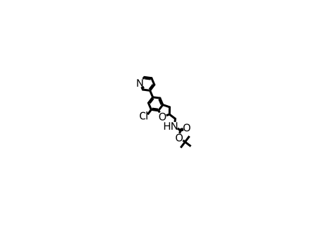 CC(C)(C)OC(=O)NCC1Cc2cc(-c3cccnc3)cc(Cl)c2O1